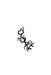 CN1CCC(n2cc(B3OC(C)(C)C(C)(C)O3)cn2)C1